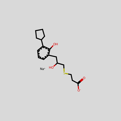 O=C([O-])CCSCC(O)Cc1cccc(C2CCCC2)c1O.[Na+]